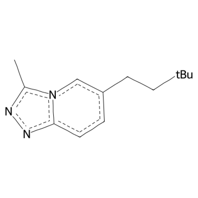 Cc1nnc2ccc(CCC(C)(C)C)cn12